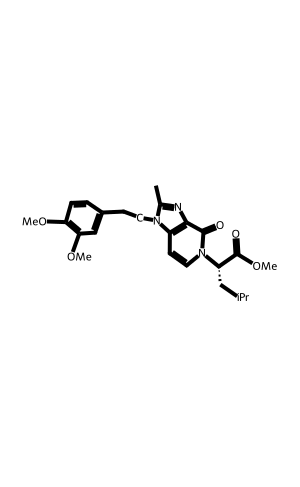 COC(=O)[C@H](CC(C)C)n1ccc2c(nc(C)n2CCc2ccc(OC)c(OC)c2)c1=O